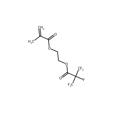 C=C(C)C(=O)OCCOC(=O)C(F)(C(F)(F)F)C(F)(F)F